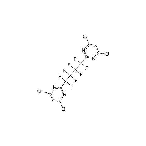 FC(F)(c1nc(Cl)cc(Cl)n1)C(F)(F)C(F)(F)C(F)(F)c1nc(Cl)cc(Cl)n1